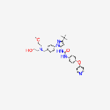 COCCN(CCO)Cc1ccc(-n2nc(C(C)(C)C)cc2NC(=O)Nc2ccc(Oc3ccncc3)cc2)cc1